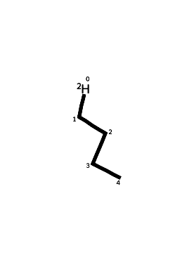 [2H]CCCC